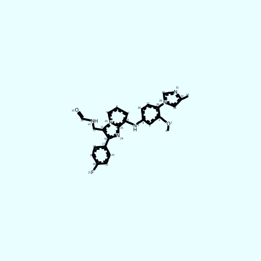 COc1cc(Nc2cccn3c(CNC=O)c(-c4ccc(F)cc4)nc23)ccc1-n1cnc(C)c1